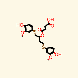 COc1cc(SCCC(CSc2ccc(O)c(OC)c2)OC(=O)CCC(=O)O)ccc1O